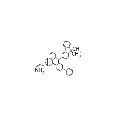 CC1(C)c2ccccc2-c2cc(-c3c4ccccc4c(CNC/C=C\N)c4ccc(-c5ccccc5)cc34)ccc21